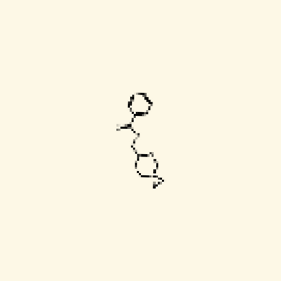 O=C(OCC1OCC2(CC2)CO1)c1ccccc1